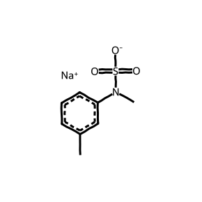 Cc1cccc(N(C)S(=O)(=O)[O-])c1.[Na+]